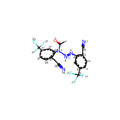 CC(=O)N(/N=N/c1cc(C(F)(F)F)ccc1C#N)c1cc(C(F)(F)F)ccc1C#N